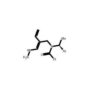 C=C/C(=C\NN)CN(C(=O)CC)[C@H](C(C)=O)C(C)(C)C